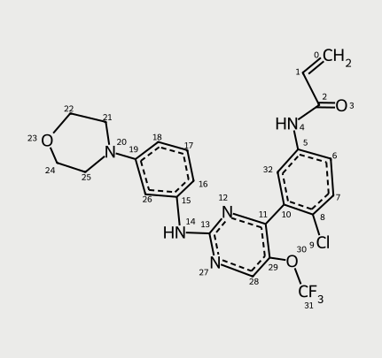 C=CC(=O)Nc1ccc(Cl)c(-c2nc(Nc3cccc(N4CCOCC4)c3)ncc2OC(F)(F)F)c1